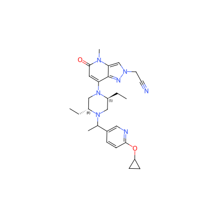 CC[C@H]1CN(C(C)c2ccc(OC3CC3)nc2)[C@H](CC)CN1c1cc(=O)n(C)c2cn(CC#N)nc12